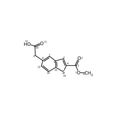 COC(=O)c1cc2cc(CC(=O)O)ccc2s1